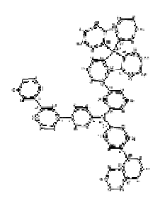 c1ccc(-c2cccc(-c3ccc(N(c4ccc(-c5cccc6ccccc56)cc4)c4cccc(-c5cccc6c5-c5ccccc5C6(c5ccccc5)c5ccccc5)c4)cc3)c2)cc1